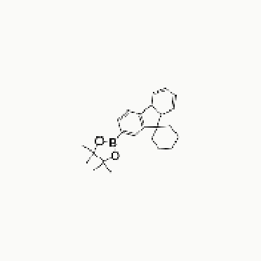 CC1(C)OB(c2ccc3c(c2)C2(CCCCC2)C2C=CC=CC32)OC1(C)C